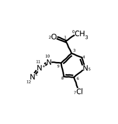 CC(=O)c1cnc(Cl)cc1N=[N+]=[N-]